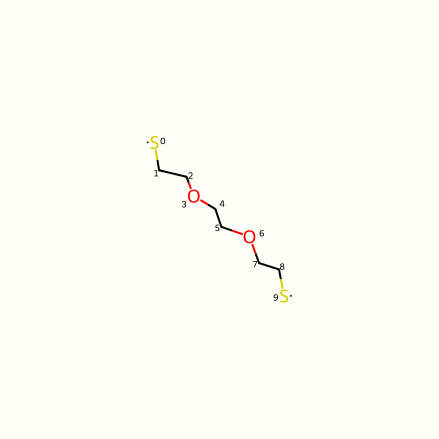 [S]CCOCCOCC[S]